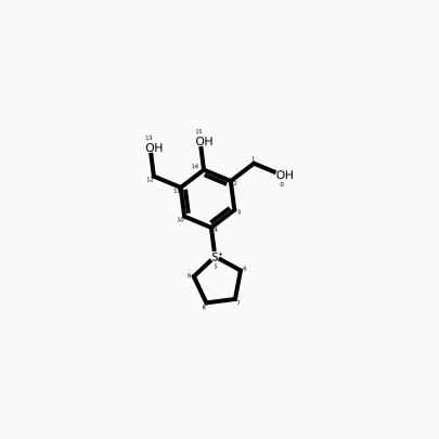 OCc1cc([S+]2CCCC2)cc(CO)c1O